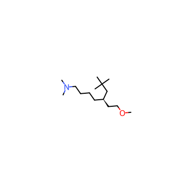 COCC[C@@H](CCCCN(C)C)CC(C)(C)C